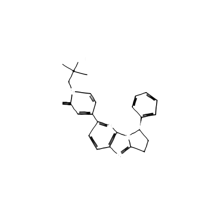 CC(C)(O)Cn1ccc(-c2ccc3nc4n(c3n2)[C@@H](c2ccccc2)CC4)cc1=O